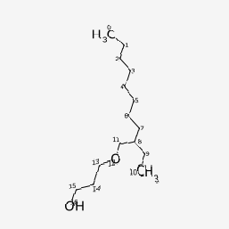 CCCCCCCCC(CC)COCCCO